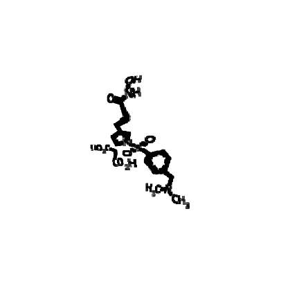 CN(C)Cc1ccc(S(=O)(=O)n2ccc(C=CC(=O)NO)c2)cc1.O=C(O)CC(=O)O